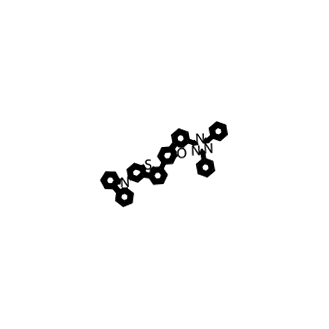 c1ccc(-c2nc(-c3ccccc3)nc(-c3cccc4c3oc3cc(-c5cccc6c5sc5ccc(-n7c8ccccc8c8ccccc87)cc56)ccc34)n2)cc1